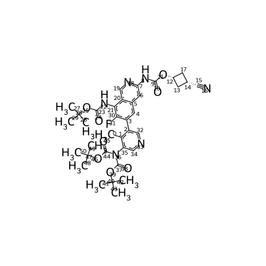 Cc1c(-c2cc3cc(NC(=O)O[C@H]4C[C@@H](C#N)C4)ncc3c(NC(=O)OC(C)(C)C)c2F)cncc1N(C(=O)OC(C)(C)C)C(=O)OC(C)(C)C